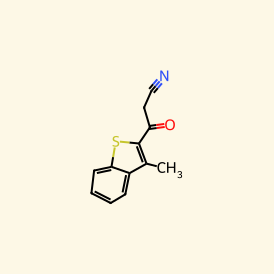 Cc1c(C(=O)CC#N)sc2ccccc12